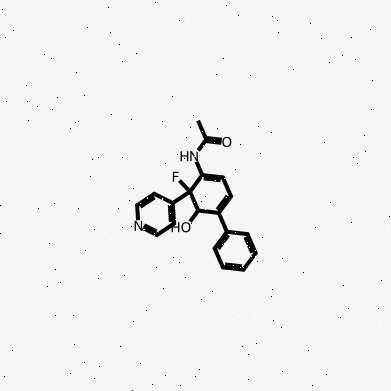 CC(=O)NC1=CC=C(c2ccccc2)C(O)C1(F)c1ccncc1